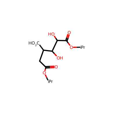 CC(C)OC(=O)CC(C(=O)O)C(O)C(O)C(=O)OC(C)C